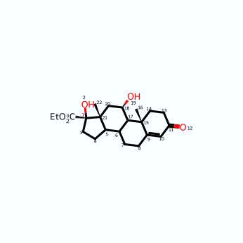 CCOC(=O)[C@]1(O)CCC2C3CCC4=CC(=O)CC[C@@]4(C)C3[C@H](O)C[C@]21C